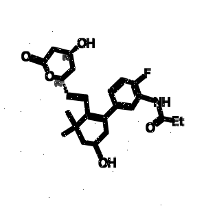 CCC(=O)Nc1cc(C2=C(C=C[C@H]3C[C@H](O)CC(=O)O3)C(C)(C)CC(O)C2)ccc1F